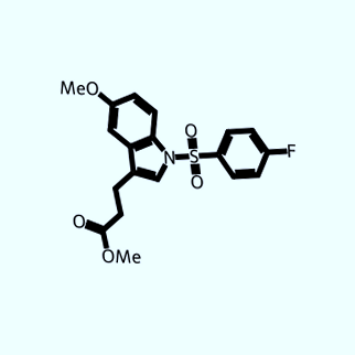 COC(=O)CCc1cn(S(=O)(=O)c2ccc(F)cc2)c2ccc(OC)cc12